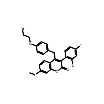 COc1ccc2c(Cc3ccc(OCCBr)cc3)c(-c3ccc(Cl)cc3Cl)c(=O)oc2c1